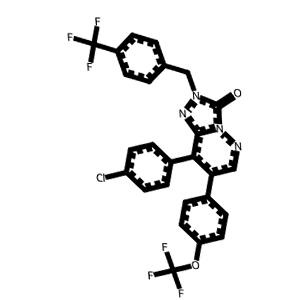 O=c1n(Cc2ccc(C(F)(F)F)cc2)nc2c(-c3ccc(Cl)cc3)c(-c3ccc(OC(F)(F)F)cc3)cnn12